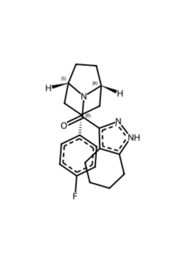 O=C(c1n[nH]c2c1CCCC2)N1[C@@H]2CC[C@H]1C[C@@H](c1ccc(F)cc1)C2